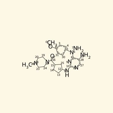 COc1ccc(N(N)c2nc(NC3CCC(C(=O)N4CCN(C)CC4)C3)ncc2N)cc1